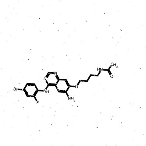 CC(=O)NCCCCOc1cc2ncnc(Nc3ccc(Br)cc3F)c2cc1N